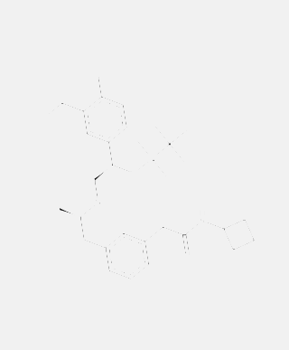 C[C@H](Cc1cccc(CC(=O)NC2CCC2)c1)NC[C@H](O[Si](C)(C)C(C)(C)C)c1ccc(O)c(CO)c1